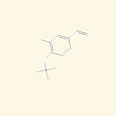 C=Cc1ccc(OC(C)(C)C)c(O)c1